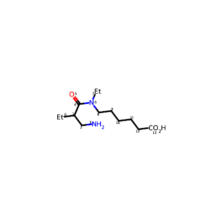 CCC(CN)C(=O)N(CC)CCCCCC(=O)O